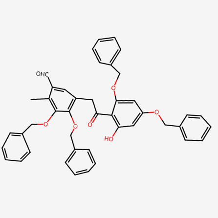 Cc1c(C=O)cc(CC(=O)c2c(O)cc(OCc3ccccc3)cc2OCc2ccccc2)c(OCc2ccccc2)c1OCc1ccccc1